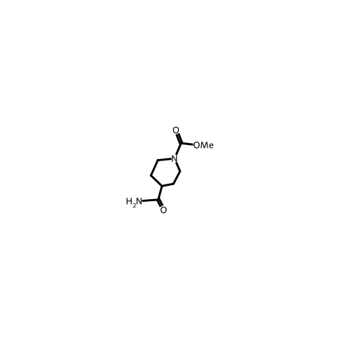 COC(=O)N1CCC(C(N)=O)CC1